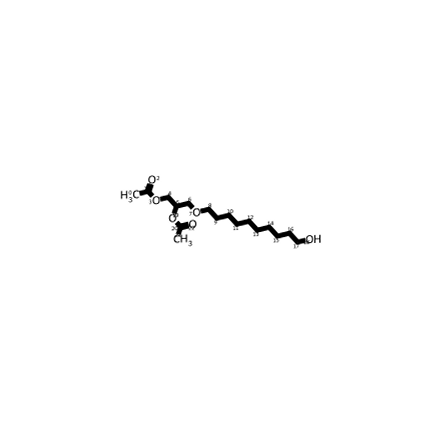 CC(=O)OCC(COCCCCCCCCCCO)OC(C)=O